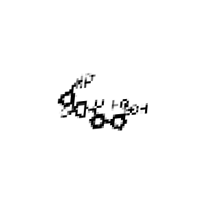 CC(C)NCc1ccc2c(c1)C1(CCN(C(=O)c3cccc(-c4cccc(B(O)O)c4)c3)CC1)CO2